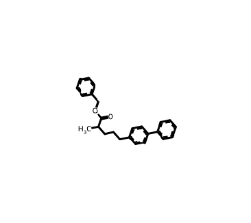 CC(CCCc1ccc(-c2ccccc2)cc1)C(=O)OCc1ccccc1